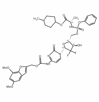 COc1cc(OC)c2oc(COC(=O)Nc3ccn([C@@H]4O[C@H](COP(=O)(N[C@@H](C)C(=O)OC5CCN(C)CC5)Oc5ccccc5)[C@@H](O)C4(F)F)c(=O)n3)cc2c1